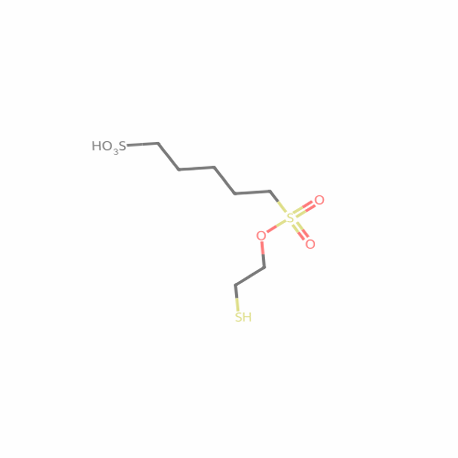 O=S(=O)(O)CCCCCS(=O)(=O)OCCS